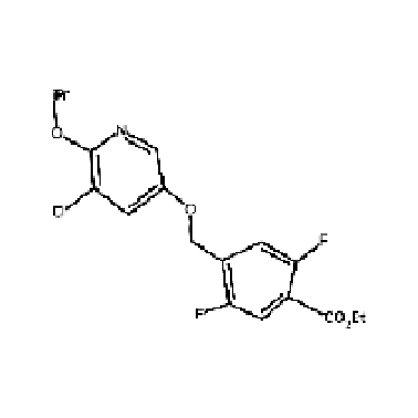 CCOC(=O)c1cc(F)c(COc2cnc(OC(C)C)c(Cl)c2)cc1F